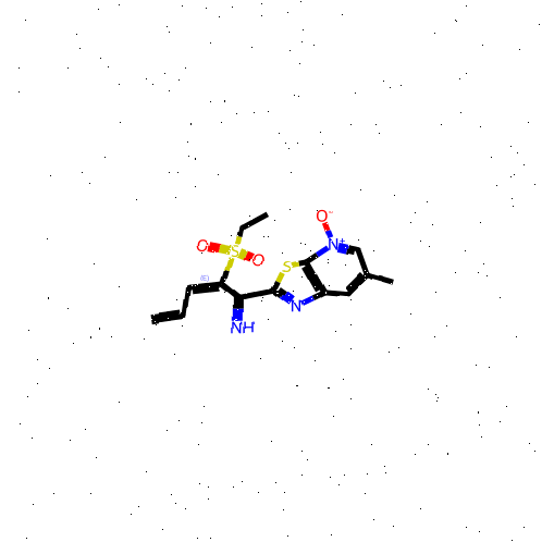 C=C/C=C(\C(=N)c1nc2cc(C)c[n+]([O-])c2s1)S(=O)(=O)CC